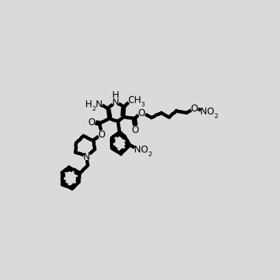 CC1=C(C(=O)OCCCCCO[N+](=O)[O-])C(c2cccc([N+](=O)[O-])c2)C(C(=O)OC2CCCN(Cc3ccccc3)C2)=C(N)N1